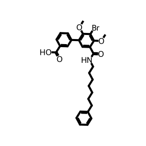 COc1c(C(=O)NCCCCCCCc2ccccc2)cc(-c2cccc(C(=O)O)c2)c(OC)c1Br